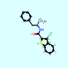 O=C(N[C@@H](Cc1ccccc1)C(=O)O)c1sc2ccccc2c1Cl